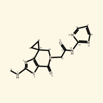 CNc1nc2c(s1)C(=O)N(CC(=O)Nc1ncccn1)CC21CC1